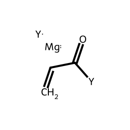 C=C[C](=O)[Y].[Mg].[Y]